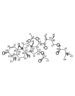 C=C(C(=O)[C@H](OC(C)=O)C1[C@@H](OC(C)=O)C[C@@]2(C)[C@@H]3CC[C@H]4[C@H](C)C(=O)C=C[C@@]45C[C@@]35CC[C@]12C)[C@@H](C)COC(=O)CN(C)C